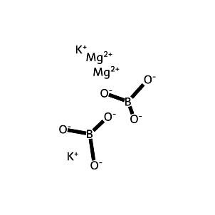 [K+].[K+].[Mg+2].[Mg+2].[O-]B([O-])[O-].[O-]B([O-])[O-]